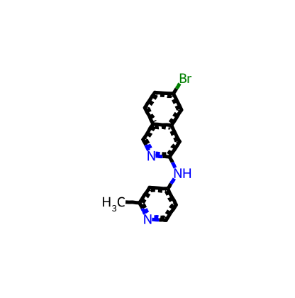 Cc1cc(Nc2cc3cc(Br)ccc3cn2)ccn1